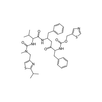 CC(C)c1nc(CN(C)C(=O)NC(C(=O)NC(CC(=O)C(Cc2ccccc2)NC(=O)OCc2cncs2)Cc2ccccc2)C(C)C)cs1